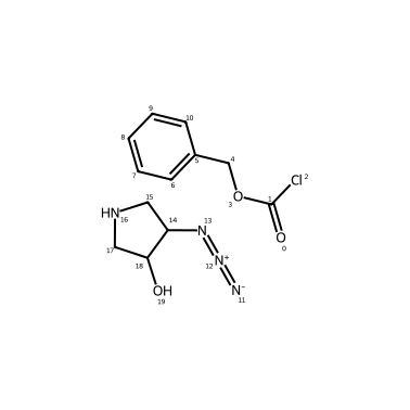 O=C(Cl)OCc1ccccc1.[N-]=[N+]=NC1CNCC1O